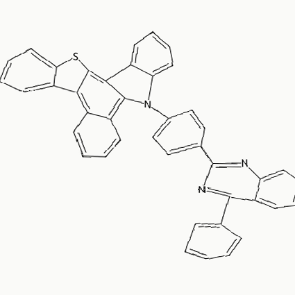 c1ccc(-c2nc(-c3ccc(-n4c5ccccc5c5c6sc7ccccc7c6c6ccccc6c54)cc3)nc3ccccc23)cc1